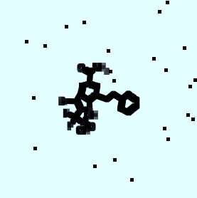 NC(=O)c1cc(CCc2ccccc2)c2sc(C(F)(F)P(=O)(O)O)c(Br)c2c1